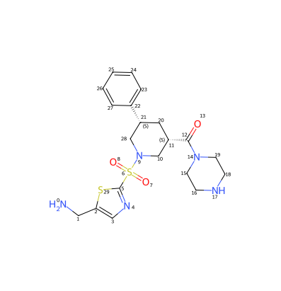 NCc1cnc(S(=O)(=O)N2C[C@@H](C(=O)N3CCNCC3)C[C@@H](c3ccccc3)C2)s1